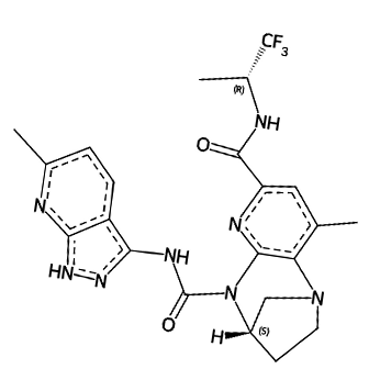 Cc1ccc2c(NC(=O)N3c4nc(C(=O)N[C@H](C)C(F)(F)F)cc(C)c4N4CC[C@H]3C4)n[nH]c2n1